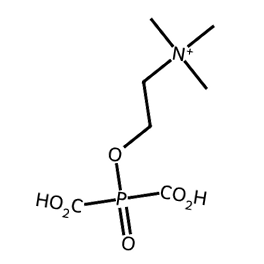 C[N+](C)(C)CCOP(=O)(C(=O)O)C(=O)O